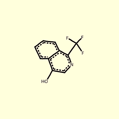 Oc1cnc(C(F)(F)F)c2ccccc12